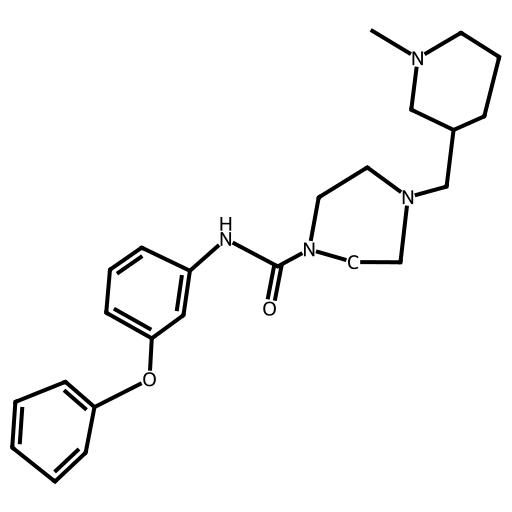 CN1CCCC(CN2CCN(C(=O)Nc3cccc(Oc4ccccc4)c3)CC2)C1